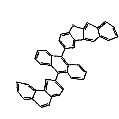 c1ccc2cc3c(cc2c1)sc1ccc(-c2c4ccccc4c(-c4ccc5ccc6ccccc6c5c4)c4ccccc24)cc13